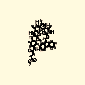 COC(=O)CCC(=O)Nc1ccc(C[C@H](NC(=O)C(C)NC(=O)C(C)NC(=O)C(C)NC(=O)OCC2c3ccccc3-c3ccccc32)C(=O)OC)cc1